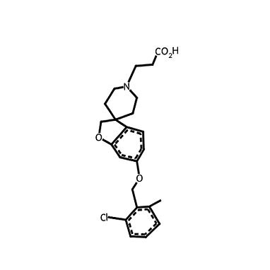 Cc1cccc(Cl)c1COc1ccc2c(c1)OCC21CCN(CCC(=O)O)CC1